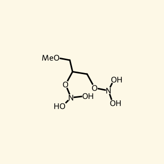 COCC(CON(O)O)ON(O)O